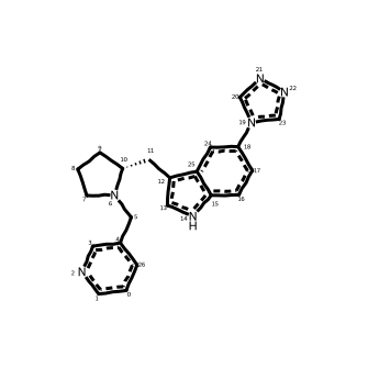 c1cncc(CN2CCC[C@@H]2Cc2c[nH]c3ccc(-n4cnnc4)cc23)c1